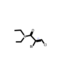 CCN(CC)C(=O)/C(Br)=C/Cl